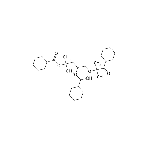 CC(C)(CC(COC(C)(C)C(=O)C1CCCCC1)OC(O)C1CCCCC1)OC(=O)C1CCCCC1